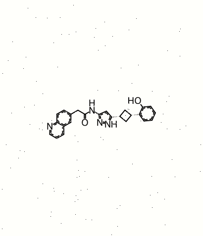 O=C(Cc1ccc2ncccc2c1)Nc1cc([C@H]2C[C@@H](c3ccccc3O)C2)[nH]n1